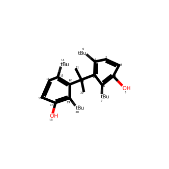 CC(C)(C)c1ccc(O)c(C(C)(C)C)c1C(C)(C)c1c(C(C)(C)C)ccc(O)c1C(C)(C)C